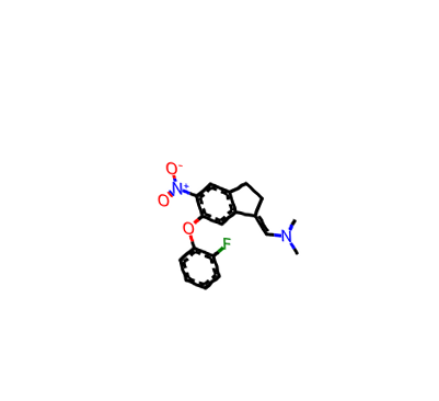 CN(C)C=C1CCc2cc([N+](=O)[O-])c(Oc3ccccc3F)cc21